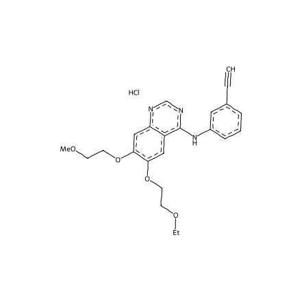 C#Cc1cccc(Nc2ncnc3cc(OCCOC)c(OCCOCC)cc23)c1.Cl